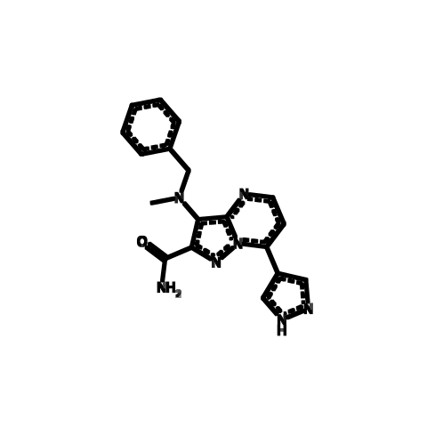 CN(Cc1ccccc1)c1c(C(N)=O)nn2c(-c3cn[nH]c3)ccnc12